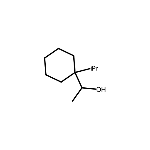 CC(C)C1(C(C)O)CCCCC1